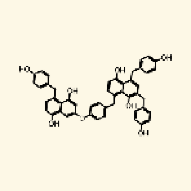 Oc1ccc(Cc2cc(Cc3ccc(O)cc3)c3c(O)ccc(Cc4ccc(Oc5cc(O)c6c(Cc7ccc(O)cc7)ccc(O)c6c5)cc4)c3c2O)cc1